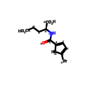 CC(C)C1=CC=C(C(=O)N[C@@H](CCC(=O)O)C(=O)O)B1